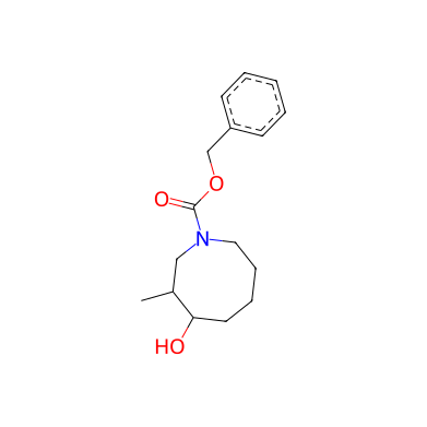 CC1CN(C(=O)OCc2ccccc2)CCCCC1O